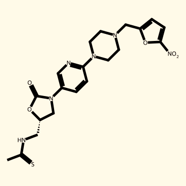 CC(=S)NC[C@H]1CN(c2ccc(N3CCN(Cc4ccc([N+](=O)[O-])o4)CC3)nc2)C(=O)O1